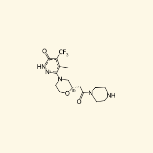 Cc1c(N2CCO[C@@H](CC(=O)N3CCNCC3)C2)n[nH]c(=O)c1C(F)(F)F